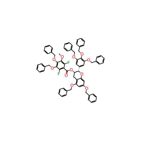 COc1c(F)c(C(=O)O[C@@H]2Cc3c(OCc4ccccc4)cc(OCc4ccccc4)cc3O[C@H]2c2cc(OCc3ccccc3)c(OCc3ccccc3)c(OCc3ccccc3)c2)c(F)c(OCc2ccccc2)c1OCc1ccccc1